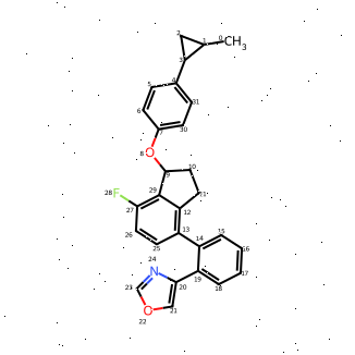 CC1CC1c1ccc(OC2CCc3c(-c4ccccc4-c4cocn4)ccc(F)c32)cc1